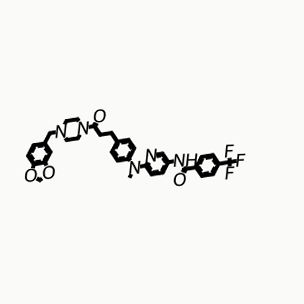 CN(c1ccc(CCC(=O)N2CCN(Cc3ccc4c(c3)OCO4)CC2)cc1)c1ccc(NC(=O)c2ccc(C(F)(F)F)cc2)cn1